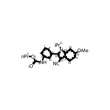 CCCOC(=O)Nc1cccc(-c2c(C#N)c3ccc(OC)cc3n2C(C)C)c1